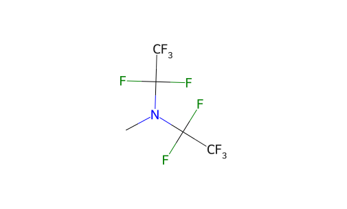 CN(C(F)(F)C(F)(F)F)C(F)(F)C(F)(F)F